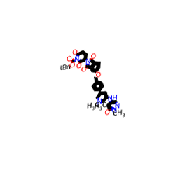 Cc1c(N[C@@H]2C[C@H](c3ccc(COc4ccc5c(c4)C(=O)N(C4CCC(=O)N(C(=O)OC(C)(C)C)C4=O)C5=O)cc3)CN(C)C2)cnn(C)c1=O